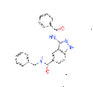 O=C(NCc1ccccc1)c1ccc2[nH]nc(NC(=O)c3ccccc3)c2c1